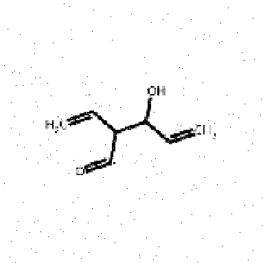 C=CC(O)C([C]=O)C=C